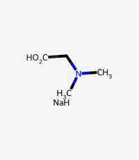 CN(C)CC(=O)O.[NaH]